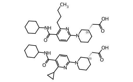 CCCCc1nc(N2CCC[C@@H](CC(=O)O)C2)ccc1C(=O)NC1CCCCC1.O=C(O)C[C@@H]1CCCN(c2ccc(C(=O)NC3CCCCC3)c(C3CC3)n2)C1